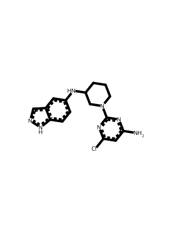 Nc1cc(Cl)nc(N2CCCC(Nc3ccc4[nH]ncc4c3)C2)n1